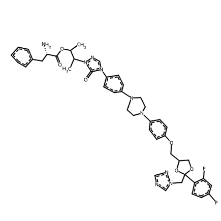 CC(OC(=O)[C@@H](N)Cc1ccccc1)C(C)n1ncn(-c2ccc(N3CCN(c4ccc(OCC5COC(Cn6cncn6)(c6ccc(F)cc6F)O5)cc4)CC3)cc2)c1=O